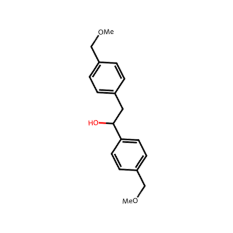 COCc1ccc(CC(O)c2ccc(COC)cc2)cc1